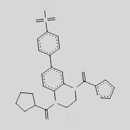 C[C@H]1CN(C(=O)c2ccco2)c2cc(-c3ccc(S(C)(=O)=O)cc3)ccc2N1C(=O)C1CCCC1